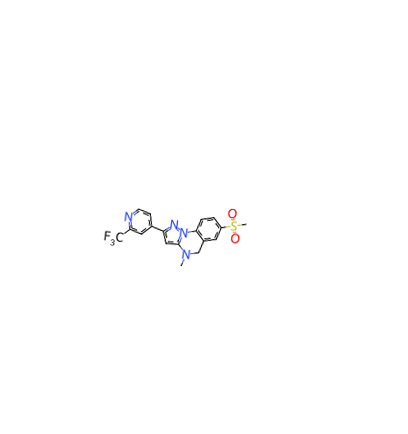 CN1Cc2cc(S(C)(=O)=O)ccc2-n2nc(-c3ccnc(C(F)(F)F)c3)cc21